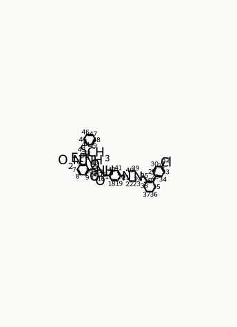 CCC(C)(Nc1c([N+](=O)[O-])cccc1S(=O)(=O)NC(=O)c1ccc(N2CCN(CC3=C(c4ccc(Cl)cc4)CCCC3)CC2)cc1)Sc1ccccc1